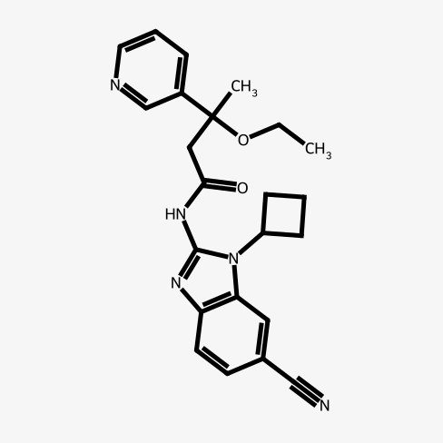 CCOC(C)(CC(=O)Nc1nc2ccc(C#N)cc2n1C1CCC1)c1cccnc1